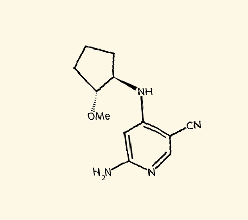 CO[C@@H]1CCC[C@H]1Nc1cc(N)ncc1C#N